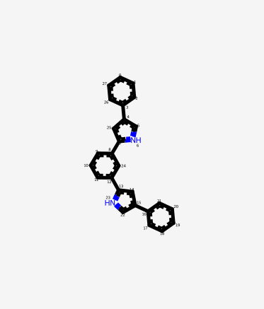 c1ccc(-c2c[nH]c(-c3cccc(-c4cc(-c5ccccc5)c[nH]4)c3)c2)cc1